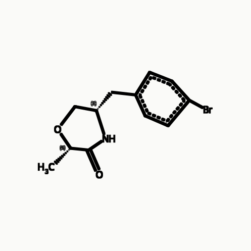 C[C@@H]1OC[C@H](Cc2ccc(Br)cc2)NC1=O